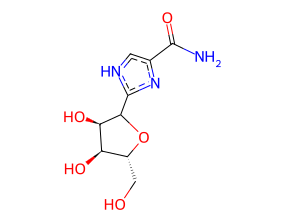 NC(=O)c1c[nH]c(C2O[C@H](CO)[C@@H](O)[C@H]2O)n1